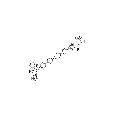 CCC(C(C)OP(=O)(O)O)n1ncn(-c2ccc(N3CCN(c4ccc(-c5ccc(C(F)(F)C(O)(Cn6cnnn6)c6ccccc6F)nc5)cc4)CC3)cc2)c1=O